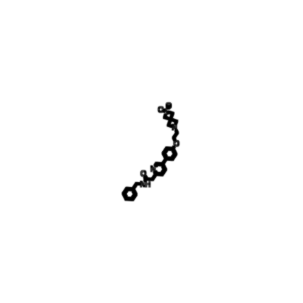 O=C(Cc1ccc(-c2ccc(OCCN3CC4(C3)CS(=O)(=O)C4)cc2)cn1)NCc1ccccc1